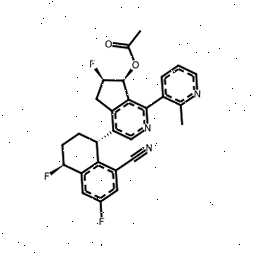 CC(=O)O[C@H]1c2c(-c3cccnc3C)ncc([C@H]3CC[C@H](F)c4cc(F)cc(C#N)c43)c2C[C@H]1F